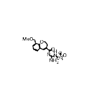 COCc1cccc2c1OCCC(C(=O)N=C(N)NOS(C)(=O)=O)=C2